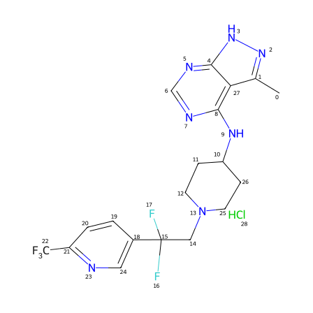 Cc1n[nH]c2ncnc(NC3CCN(CC(F)(F)c4ccc(C(F)(F)F)nc4)CC3)c12.Cl